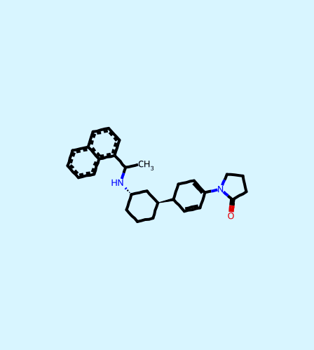 CC(N[C@H]1CCC[C@H](C2C=CC(N3CCCC3=O)=CC2)C1)c1cccc2ccccc12